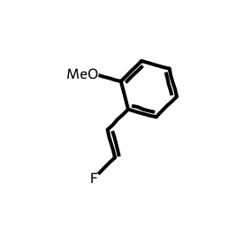 COc1ccccc1C=CF